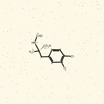 C[C@](Cc1ccc(Cl)c(Cl)c1)(NC=O)C(=O)O